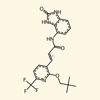 CC(C)(C)COc1nc(C(F)(F)F)ccc1/C=C/C(=O)Nc1cccc2[nH]c(=O)[nH]c12